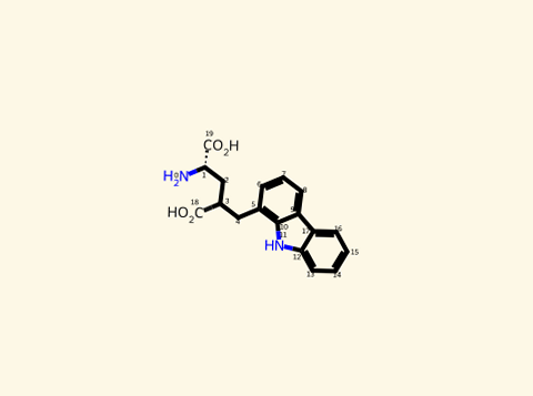 N[C@@H](CC(Cc1cccc2c1[nH]c1ccccc12)C(=O)O)C(=O)O